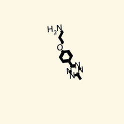 Cc1nnc(-c2ccc(OCCCN)cc2)nn1